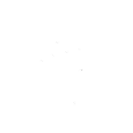 Cc1cc(N2CCCC2C(=O)NCCc2cccnc2)nc(-n2ccnc2)n1